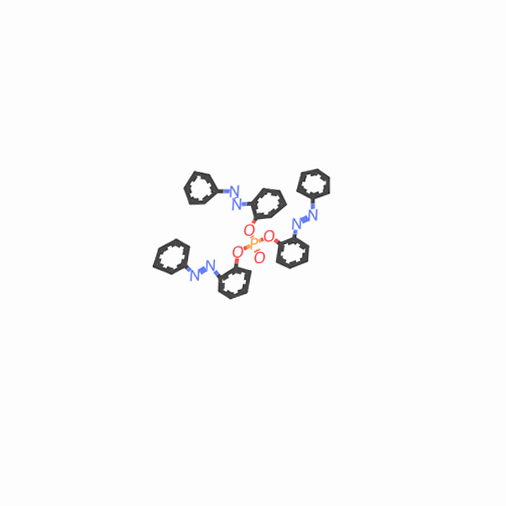 O=P(Oc1ccccc1/N=N/c1ccccc1)(Oc1ccccc1/N=N/c1ccccc1)Oc1ccccc1/N=N/c1ccccc1